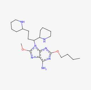 CCCCOc1nc(N)c2nc(OC)n(C(CCC3CCCCN3)C3CCCCN3)c2n1